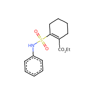 CCOC(=O)C1=C(S(=O)(=O)Nc2ccccc2)CCCC1